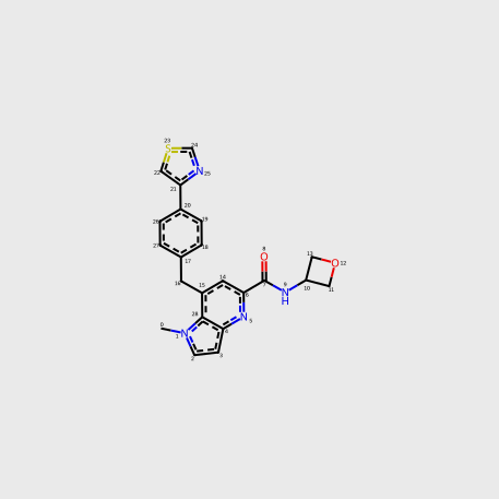 Cn1ccc2nc(C(=O)NC3COC3)cc(Cc3ccc(-c4cscn4)cc3)c21